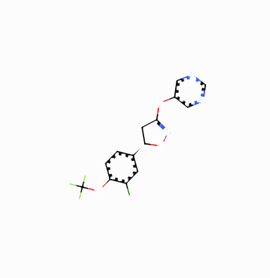 FC(F)(F)Oc1ccc([C@H]2CC(Oc3cncnc3)=NO2)cc1Cl